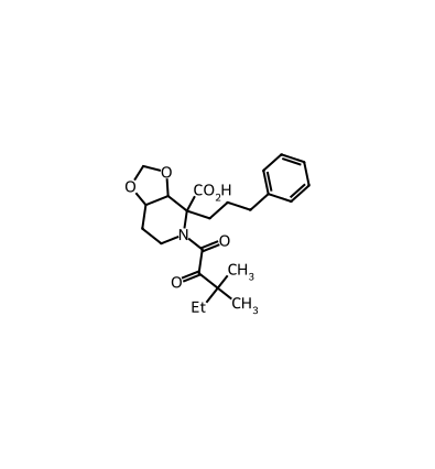 CCC(C)(C)C(=O)C(=O)N1CCC2OCOC2C1(CCCc1ccccc1)C(=O)O